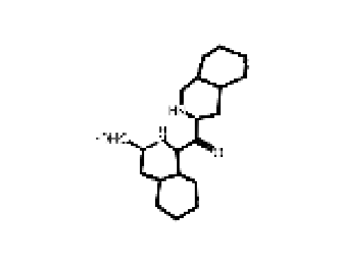 O=[C]C1CC2CCCCC2C(C(=O)C2CC3CCCCC3CN2)N1